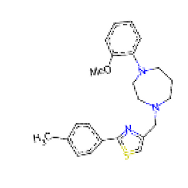 COc1ccccc1N1CCCN(Cc2csc(-c3ccc(C)cc3)n2)CC1